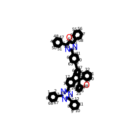 c1ccc(-c2nc(-c3ccccc3)nc(-c3ccc4c(c3)C3(c5ccccc5Oc5ccccc53)c3ccc(-c5ccc(-c6nc(-c7ccccc7)c7oc8ccccc8c7n6)cc5)cc3-4)n2)cc1